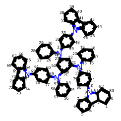 C1=CC2c3ccccc3N(c3ccc(N(c4ccccc4)c4cc(N(c5ccccc5)c5ccc(-n6c7ccccc7c7ccccc76)cc5)cc(N(c5ccccc5)c5ccc(-n6c7ccccc7c7ccccc76)cc5)c4)cc3)C2C=C1